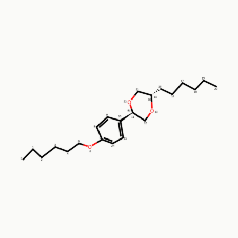 CCCCCCOc1ccc([C@@H]2CO[C@@H](CCCCCC)CO2)cc1